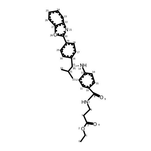 CCOC(=O)CCNC(=O)c1ccc(N[C@@H](c2ccc(-c3nc4ccccc4o3)cc2)C(C)C)cc1